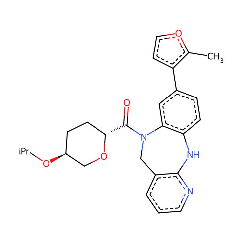 Cc1occc1-c1ccc2c(c1)N(C(=O)[C@H]1CC[C@H](OC(C)C)CO1)Cc1cccnc1N2